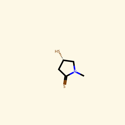 CN1C[C@@H](S)CC1=S